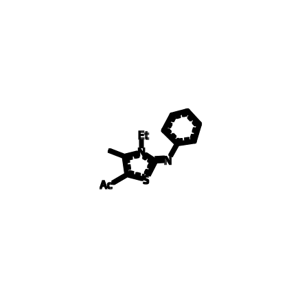 CCn1c(C)c(C(C)=O)sc1=Nc1ccccc1